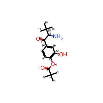 CC(C)(C)C(=O)Oc1ccc(C(=O)C(N)C(C)(C)C)cc1O